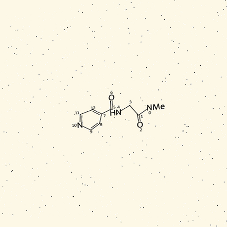 CNC(=O)CNC(=O)c1ccncc1